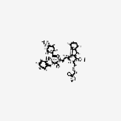 COC(=O)CSCC[C@H](O)[C@H](CC1CCCCC1)NC(=O)CCNC(=O)[C@H](Cc1ccccc1)NC(=O)N1CCC(N)CC1